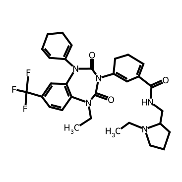 CCN1C(=O)N(C2=CC(C(=O)NCC3CCCN3CC)=CCC2)C(=O)N(C2=CCCC=C2)c2cc(C(F)(F)F)ccc21